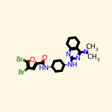 CN(C)c1nc(N[C@H]2CC[C@@H](NC(=O)c3cc(Br)c(Br)o3)CC2)nc2c1CCCC2